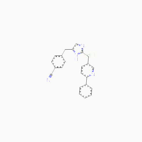 Cl.N#Cc1ccc(Cc2cnc(Cc3ccc(-c4ccccc4)nc3)[nH]2)cc1